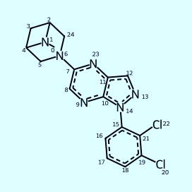 CN1C2CC1CN(c1cnc3c(cnn3-c3cccc(Cl)c3Cl)n1)C2